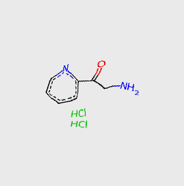 Cl.Cl.NCC(=O)c1ccccn1